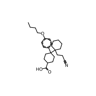 CCCCOc1ccc(C2(C3(CCC#N)CCCCC3)CCC(C(=O)O)CC2)cc1